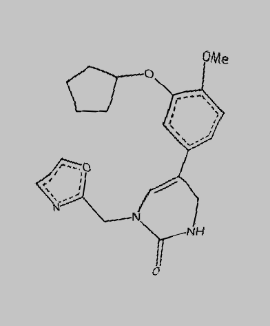 COc1ccc(C2=CN(Cc3ncco3)C(=O)NC2)cc1OC1CCCC1